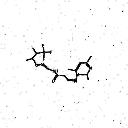 CC1=CC(C)=NC(C)N1/N=C\CC(=O)N/C=N/OC(C)C(C)C(F)(F)F